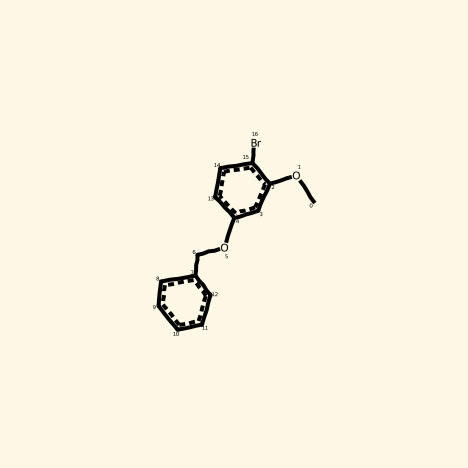 COc1cc(OCc2ccccc2)ccc1Br